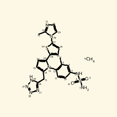 C.Cc1cc(NS(N)(=O)=O)ccc1-n1c(Cc2nnn[nH]2)ccc1-c1ccc(-n2ccnc2C)s1